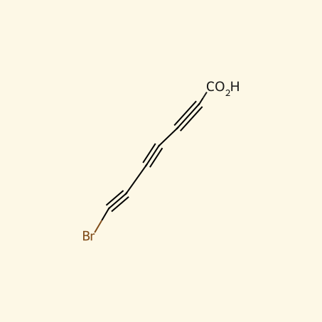 O=C(O)C#CC#CC#CBr